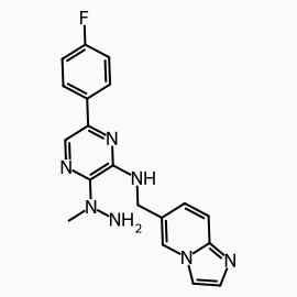 CN(N)c1ncc(-c2ccc(F)cc2)nc1NCc1ccc2nccn2c1